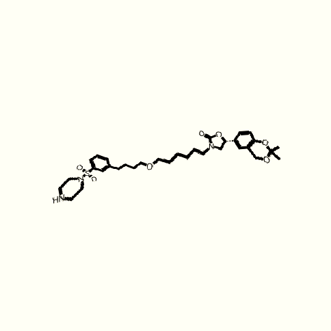 CC1(C)OCc2cc([C@@H]3CN(CCCCCCOCCCCc4cccc(S(=O)(=O)N5CCNCC5)c4)C(=O)O3)ccc2O1